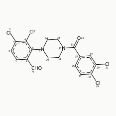 O=[C]c1ccc(Cl)c(Cl)c1N1CCN(C(=O)c2ccc(Cl)c(Cl)c2)CC1